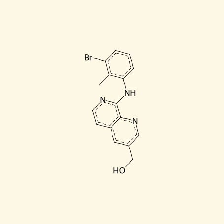 Cc1c(Br)cccc1Nc1nccc2cc(CO)cnc12